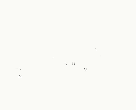 Cc1[nH]ncc1-c1ccc(-c2ccc(N(C)C3CC(C)(C)NC(C)(C)C3)nn2)c(OI)c1